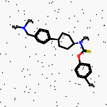 Cc1ccc(OC(=S)N(C)[C@H]2CC[C@H](c3ccc(CN(C)C)cc3)CC2)cc1